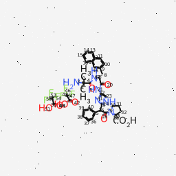 CC(C)(N)C(=O)N[C@H](Cc1ccc2ccccc2c1)C(=O)Nc1c[nH]c(C(C(=O)N2CCC[C@H]2C(=O)O)c2ccccc2)n1.O=C(O)C(F)(F)F.O=C(O)C(F)(F)F